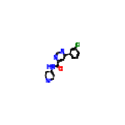 O=C(Nc1ccncc1)c1cc(-c2cccc(Cl)c2)ncn1